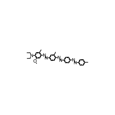 CCN(CC)c1cc(C)c(N=Nc2ccc(N=Nc3ccc(N=Nc4ccc(C)cc4)cc3)c(C)c2)cc1OC